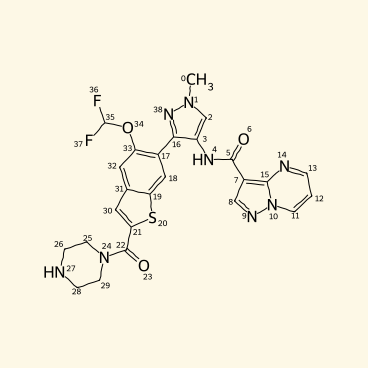 Cn1cc(NC(=O)c2cnn3cccnc23)c(-c2cc3sc(C(=O)N4CCNCC4)cc3cc2OC(F)F)n1